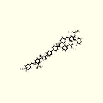 CC(C)Oc1ccccc1[C@H]1CN(Cc2cnc(N3CCOCC3)c(OC(C)C)c2)CCN1C1CC2(CCN(c3ccc(C(=O)NS(=O)(=O)c4ccc(NCC5CCC(C)(O)CC5)c([N+](=O)[O-])c4)cc3)CC2)C1